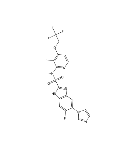 Cc1c(OCC(F)(F)F)ccnc1N(C)S(=O)(=O)c1nc2cc(-n3ccnc3)c(F)cc2[nH]1